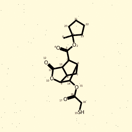 CC1(OC(=O)C2C3CC4C(OC(=O)C42)C3OC(=O)CS)CCCC1